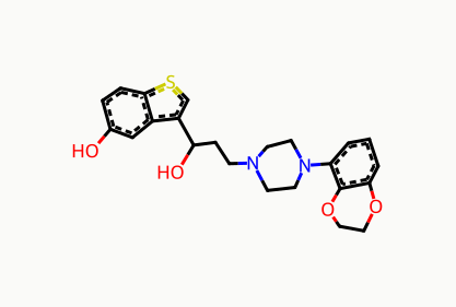 Oc1ccc2scc(C(O)CCN3CCN(c4cccc5c4OCCO5)CC3)c2c1